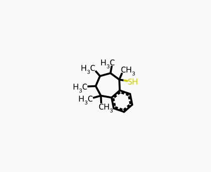 CC1C(C)C(C)(C)c2ccccc2C(C)(S)C1C